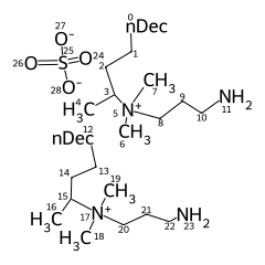 CCCCCCCCCCCCC(C)[N+](C)(C)CCCN.CCCCCCCCCCCCC(C)[N+](C)(C)CCCN.O=S(=O)([O-])[O-]